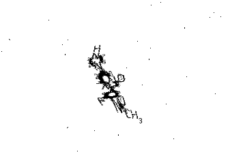 Cc1nc2c(F)cc(-c3cc(=O)n4cc(N5CCNCC5)ccc4n3)cc2o1